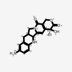 CC[C@@]1(O)C(=O)OCc2c1cc1n(c2=O)CC2Cc3cc(N)ccc3NC12